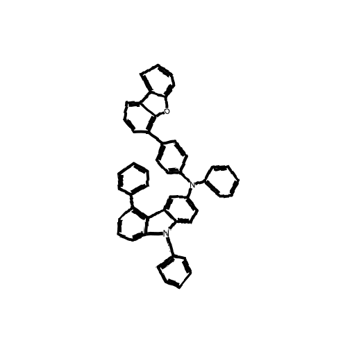 c1ccc(-c2cccc3c2c2cc(N(c4ccccc4)c4ccc(-c5cccc6c5oc5ccccc56)cc4)ccc2n3-c2ccccc2)cc1